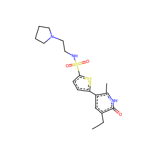 CCc1cc(-c2ccc(S(=O)(=O)NCCN3CCCC3)s2)c(C)[nH]c1=O